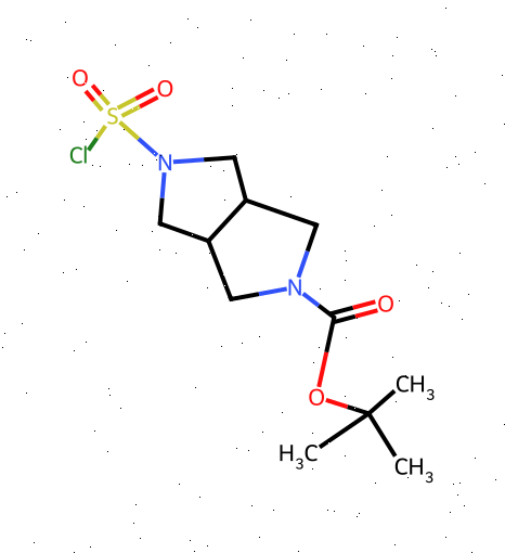 CC(C)(C)OC(=O)N1CC2CN(S(=O)(=O)Cl)CC2C1